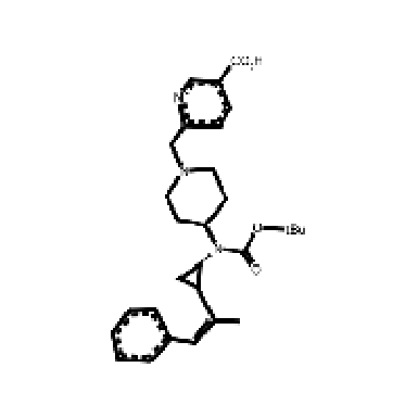 CC(=Cc1ccccc1)C1C[C@@H]1N(C(=O)OC(C)(C)C)C1CCN(Cc2ccc(C(=O)O)cn2)CC1